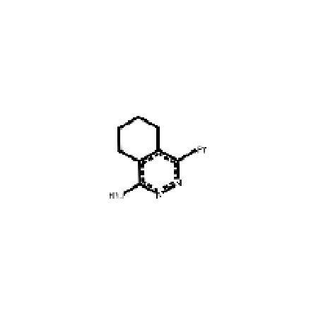 CC(C)c1nnc(C(C)(C)C)c2c1CCCC2